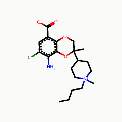 CCCC[N+]1(C)CCC(C2(C)COc3c(C(=O)[O-])cc(Cl)c(N)c3O2)CC1